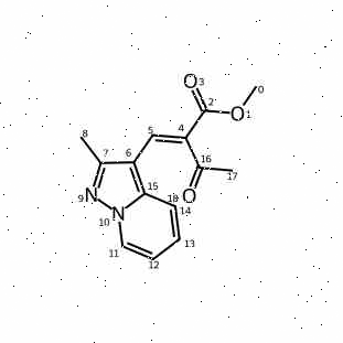 COC(=O)C(=Cc1c(C)nn2ccccc12)C(C)=O